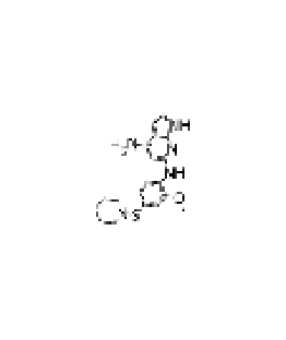 COc1cc(SN2CCCCC2)ccc1Nc1cc(N)c2cc[nH]c2n1